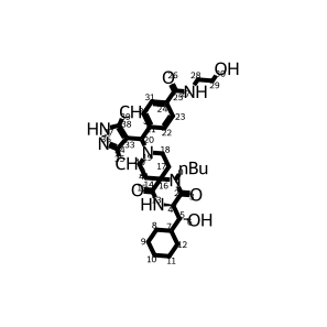 CCCCN1C(=O)[C@@H]([C@H](O)C2CCCCC2)NC(=O)C12CCN(C(c1ccc(C(=O)NCCO)cc1)c1c(C)n[nH]c1C)CC2